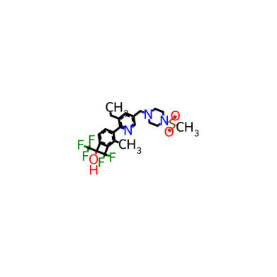 CCc1cc(CN2CCN(S(C)(=O)=O)CC2)cnc1-c1ccc2c(c1C)C(F)(F)C2(O)C(F)(F)F